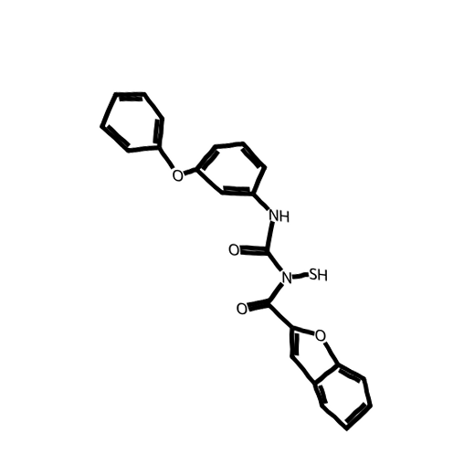 O=C(Nc1cccc(Oc2ccccc2)c1)N(S)C(=O)c1cc2ccccc2o1